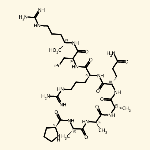 CC(C)C[C@H](NC(=O)[C@H](CCCNC(=N)N)NC(=O)[C@H](CCC(N)=O)NC(=O)[C@H](C)NC(=O)[C@H](C)NC(=O)[C@H](C)NC(=O)[C@@H]1CCCN1)C(=O)N[C@@H](CCCNC(=N)N)C(=O)O